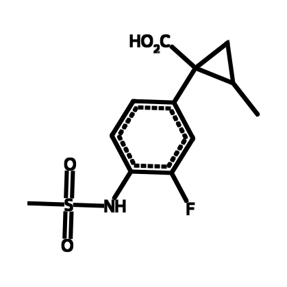 CC1CC1(C(=O)O)c1ccc(NS(C)(=O)=O)c(F)c1